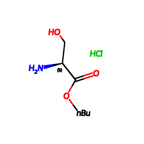 CCCCOC(=O)[C@@H](N)CO.Cl